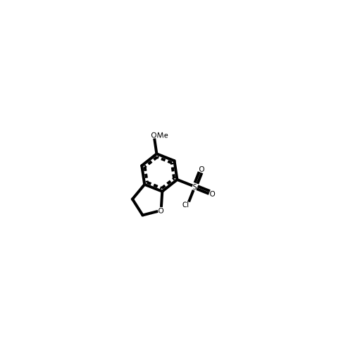 COc1cc2c(c(S(=O)(=O)Cl)c1)OCC2